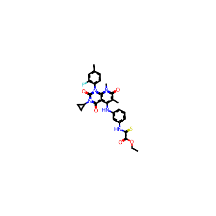 CCOC(=O)C(=S)Nc1cccc(Nc2c(C)c(=O)n(C)c3c2c(=O)n(C2CC2)c(=O)n3-c2ccc(C)cc2F)c1